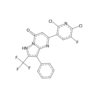 O=c1cc(-c2cc(F)c(Cl)nc2Cl)nc2c(-c3ccccc3)c(C(F)(F)F)[nH]n12